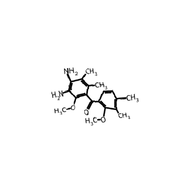 COc1c(C(=O)c2c(C)c(C)c(N)c(N)c2OC)ccc(C)c1C